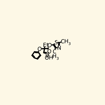 CCC(C=NO)(Oc1ccccc1)C(=O)Oc1sc(C)nc1C